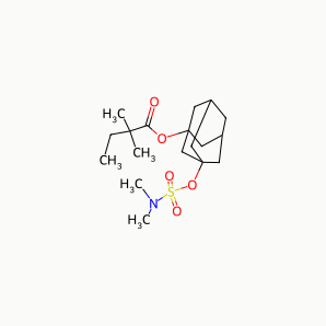 CCC(C)(C)C(=O)OC12CC3CC(C1)CC(OS(=O)(=O)N(C)C)(C3)C2